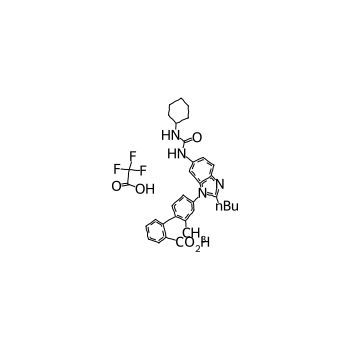 CCCCc1nc2ccc(NC(=O)NC3CCCCC3)cc2n1-c1ccc(-c2ccccc2C(=O)O)c(C)c1.O=C(O)C(F)(F)F